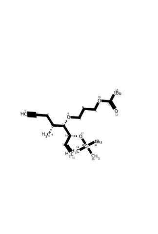 C#CC[C@@H](C)[C@H](OCCCOC(=O)C(C)(C)C)[C@@H](C=C)O[Si](C)(C)C(C)(C)C